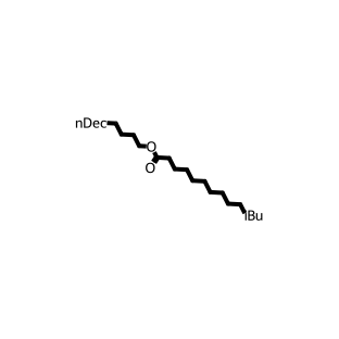 CCCCCCCCCCCCCCOC(=O)CCCCCCCCCC(C)CC